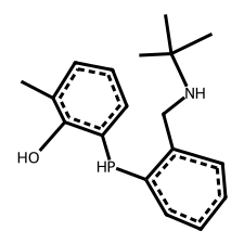 Cc1cccc(Pc2ccccc2CNC(C)(C)C)c1O